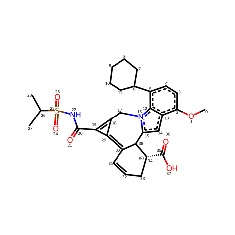 COc1ccc(C2CCCCC2)c2c1cc1n2CC2=C(C(=O)NS(=O)(=O)C(C)C)C2=C2C=CC[C@@H](C(=O)O)C21